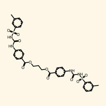 Cc1cccc(S(=O)(=O)NC(=O)Nc2ccc(C(=O)OCCCOC(=O)c3ccc(NC(=O)NS(=O)(=O)c4cccc(C)c4)cc3)cc2)c1